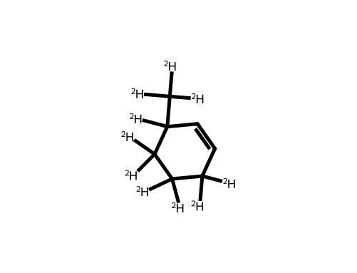 [2H]C([2H])([2H])C1([2H])C=CC([2H])([2H])C([2H])([2H])C1([2H])[2H]